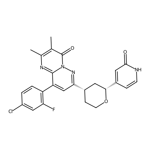 Cc1nc2c(-c3ccc(Cl)cc3F)cc([C@H]3CCO[C@@H](c4cc[nH]c(=O)c4)C3)nn2c(=O)c1C